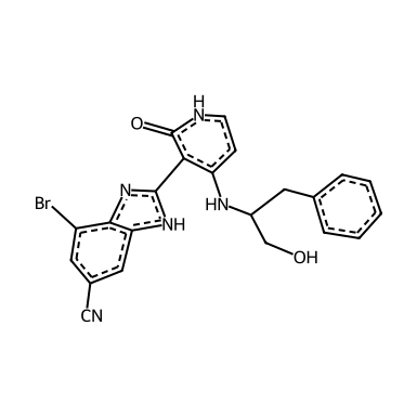 N#Cc1cc(Br)c2nc(-c3c(NC(CO)Cc4ccccc4)cc[nH]c3=O)[nH]c2c1